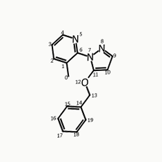 Cc1cccnc1-n1nccc1OCc1ccccc1